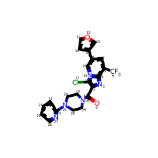 O=C(c1nc2c(C(F)(F)F)cc(-c3ccoc3)cn2c1Cl)N1CCN(c2ccccn2)CC1